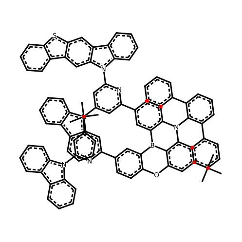 CC(C)(C)c1cc(-c2ccc3c(c2)B2c4cc(-c5cc(-n6c7ccccc7c7ccccc76)cc(-n6c7ccccc7c7cc8sc9ccccc9c8cc76)n5)ccc4N(c4c(-c5ccccc5)cccc4-c4ccccc4)c4cc(C(C)(C)C)cc(c42)O3)nc(-n2c3ccccc3c3ccccc32)c1